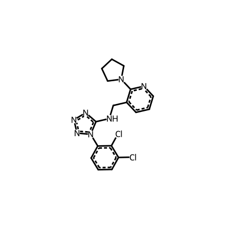 Clc1cccc(-n2nnnc2NCc2cccnc2N2CCCC2)c1Cl